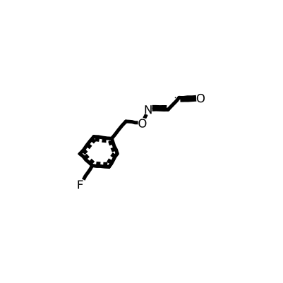 O=[C]C=NOCc1ccc(F)cc1